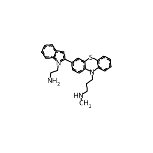 CNCCCN1c2ccccc2Sc2cc(-c3cc4ccccc4n3CCN)ccc21